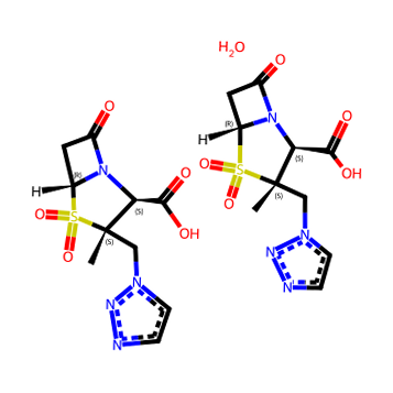 C[C@]1(Cn2ccnn2)[C@H](C(=O)O)N2C(=O)C[C@H]2S1(=O)=O.C[C@]1(Cn2ccnn2)[C@H](C(=O)O)N2C(=O)C[C@H]2S1(=O)=O.O